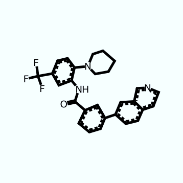 O=C(Nc1cc(C(F)(F)F)ccc1N1CCCCC1)c1cccc(-c2ccc3ccncc3c2)c1